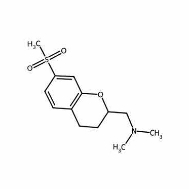 CN(C)CC1CCc2ccc(S(C)(=O)=O)cc2O1